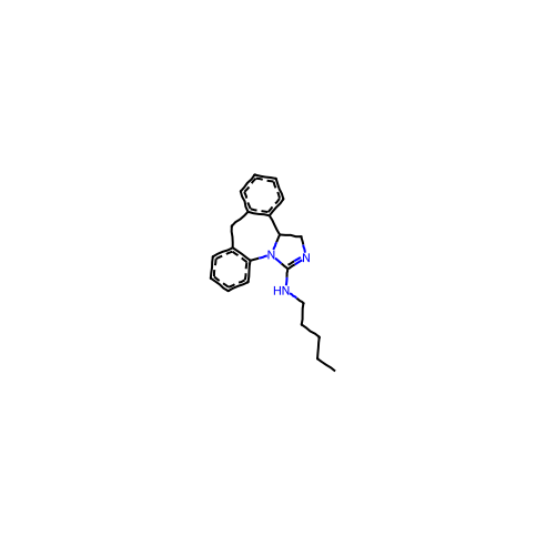 CCCCCNC1=NCC2c3ccccc3Cc3ccccc3N12